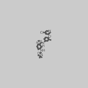 Cc1cc(Nc2ncnc3ccc(NC4=NC(C)(C)CO4)cc23)ccc1Oc1cncc(Cl)c1